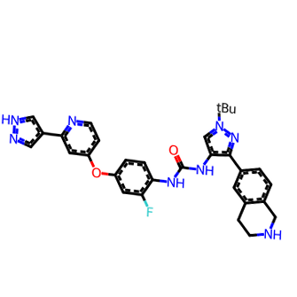 CC(C)(C)n1cc(NC(=O)Nc2ccc(Oc3ccnc(-c4cn[nH]c4)c3)cc2F)c(-c2ccc3c(c2)CCNC3)n1